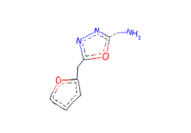 Nc1nnc(-c2ccco2)o1